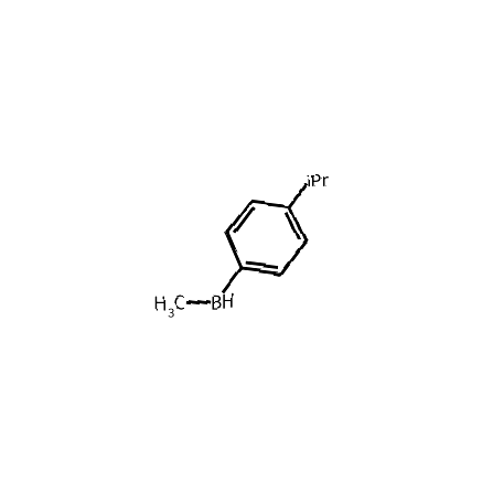 CBc1ccc(C(C)C)cc1